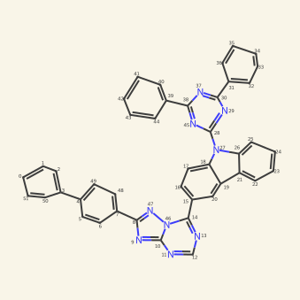 c1ccc(-c2ccc(-c3nc4ncnc(-c5ccc6c(c5)c5ccccc5n6-c5nc(-c6ccccc6)nc(-c6ccccc6)n5)n4n3)cc2)cc1